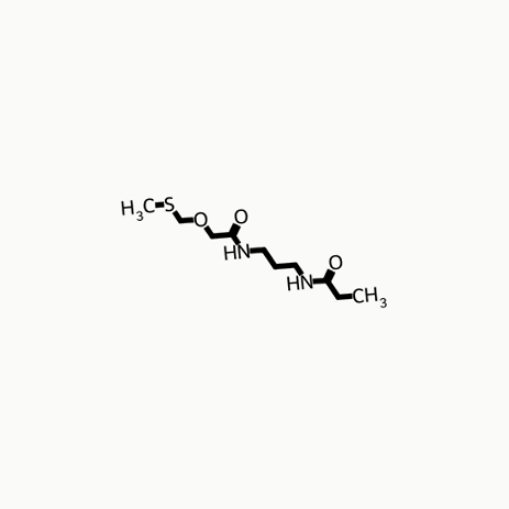 CCC(=O)NCCCNC(=O)COCSC